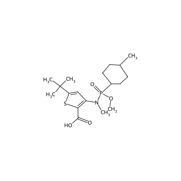 COP(=O)(C1CCC(C)CC1)N(C)c1cc(C(C)(C)C)sc1C(=O)O